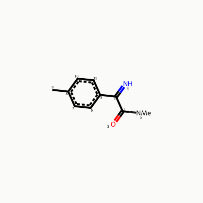 CNC(=O)C(=N)c1ccc(C)cc1